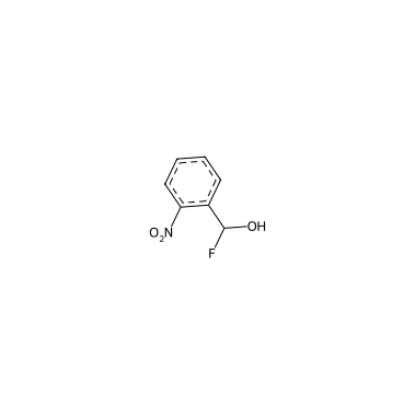 O=[N+]([O-])c1ccccc1C(O)F